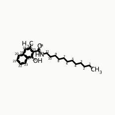 CCCCCCCCCCCCNC(=O)c1c(C)cc2ccccc2c1O